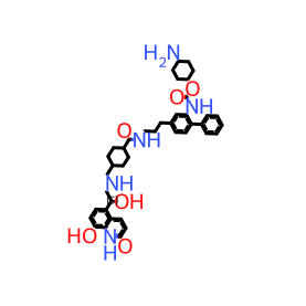 NC1CCC(OC(=O)Nc2cc(CCCNC(=O)C3CCC(CNC[C@@H](O)c4ccc(O)c5[nH]c(=O)ccc45)CC3)ccc2-c2ccccc2)CC1